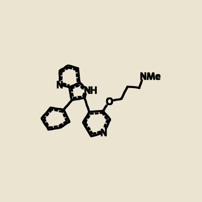 CNCCCOc1cnccc1-c1[nH]c2cccnc2c1-c1ccccc1